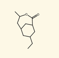 CCC1CC2CC(C)OC(=O)C(C1)C2